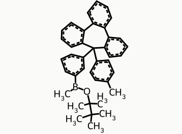 CB(OC(C)(C)C(C)(C)C)c1cccc(C2(c3ccc(C)cc3)c3ccccc3-c3ccccc3-c3ccccc32)c1